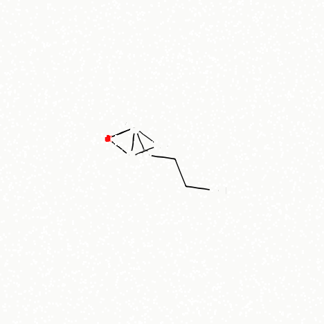 OCCOP123SS1(S2)S3